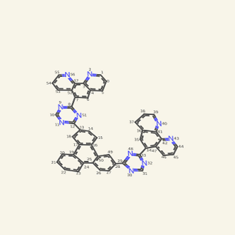 c1cnc2c(c1)cc(-c1ncnc(-c3ccc4c(c3)c3ccccc3c3ccc(-c5ncnc(-c6cc7cccnc7c7ncccc67)n5)cc34)n1)c1cccnc12